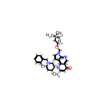 C[C@@H]1CCN(Cc2ccccc2C(F)(F)F)C[C@@H]1n1ccc(=O)c2cnc3c(ccn3COCC[Si](C)(C)C)c21